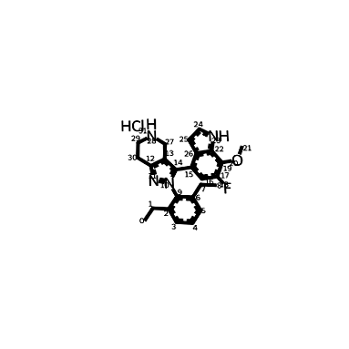 CCc1cccc(CC)c1-n1nc2c(c1-c1cc(F)c(OC)c3[nH]ccc13)CNCC2.Cl